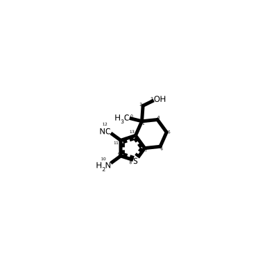 CC1(CO)CCCc2sc(N)c(C#N)c21